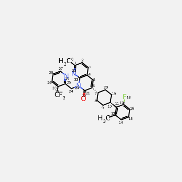 Cc1ccc2cc([C@H]3CC[C@H](c4c(C)cccc4F)CC3)c(=O)n(Cc3ncccc3C(F)(F)F)c2n1